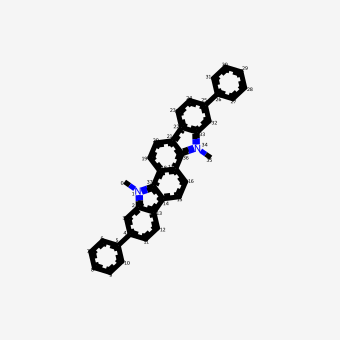 Cn1c2cc(-c3ccccc3)ccc2c2ccc3c(ccc4c5ccc(-c6ccccc6)cc5n(C)c43)c21